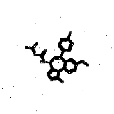 COc1ccc2c(c1)C(c1ccc(Cl)cc1)=N[C@@H](NC(=O)OC(C)C)c1nnc(C)n1-2